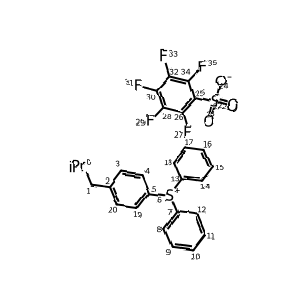 CC(C)Cc1ccc([S+](c2ccccc2)c2ccccc2)cc1.O=S(=O)([O-])c1c(F)c(F)c(F)c(F)c1F